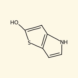 Oc1cc2[nH]ccc2s1